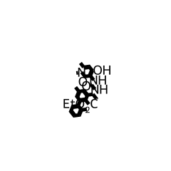 CCOC(=O)CC(NC(=O)Nc1c(O)cc(C)n(C)c1=O)c1cc(C)cc(-c2ccccc2C)c1C